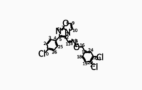 Clc1ccc(-c2nc3occn3c2C=NOCc2ccc(Cl)c(Cl)c2)cc1